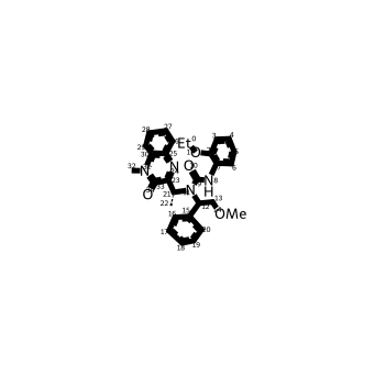 CCOc1ccccc1NC(=O)N(C(COC)c1ccccc1)[C@H](C)c1nc2ccccc2n(C)c1=O